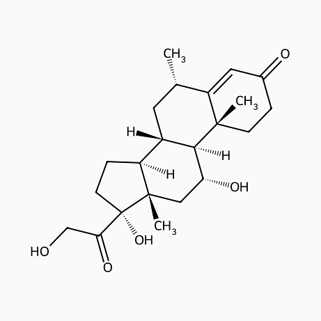 C[C@H]1C[C@@H]2[C@H]([C@H](O)C[C@@]3(C)[C@H]2CC[C@]3(O)C(=O)CO)[C@@]2(C)CCC(=O)C=C12